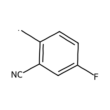 [CH2]c1ccc(F)cc1C#N